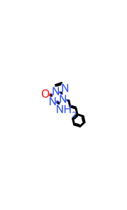 Nc1nc(=O)n2ccnc2n1C/C=C/c1ccccc1